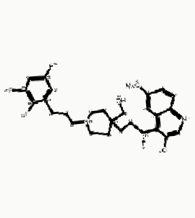 COc1ccc2ncc(Cl)c([C@H](F)CCC3(CO)CCN(CCCc4cc(F)cc(F)c4F)CC3)c2c1